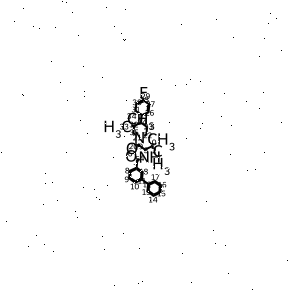 CC(C)[C@@H](NC(=O)c1cccc(-c2ccccc2)c1)C(=O)N1CCC(C2C=CC(F)=CC2)C(C)(C)C1